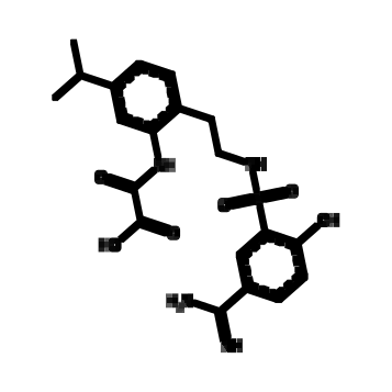 CC(C)c1ccc(CCNS(=O)(=O)c2cc(C(=N)N)ccc2O)c(NC(=O)C(=O)O)c1